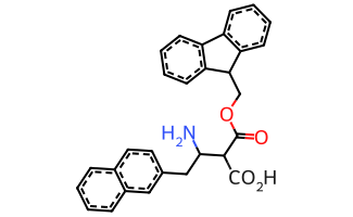 NC(Cc1ccc2ccccc2c1)C(C(=O)O)C(=O)OCC1c2ccccc2-c2ccccc21